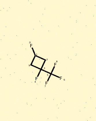 FC1CC(F)(C(F)(F)F)C1